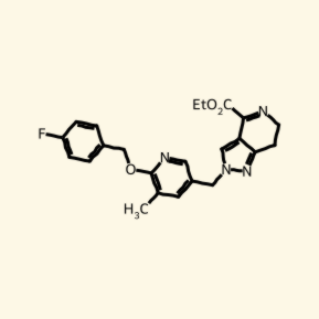 CCOC(=O)C1=NCCc2nn(Cc3cnc(OCc4ccc(F)cc4)c(C)c3)cc21